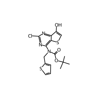 CC(C)(C)OC(=O)N(Cc1cccs1)c1nc(Cl)nc2c(O)csc12